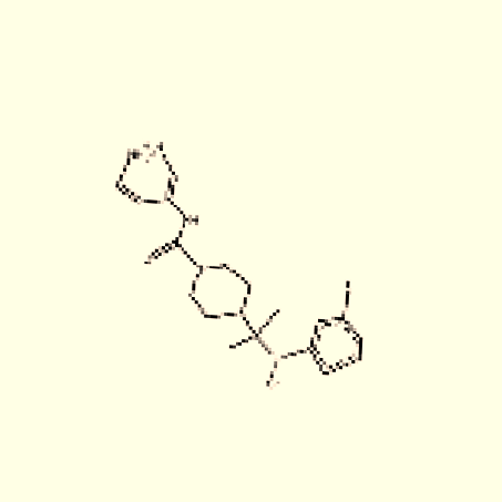 CC(C)(C1CCN(C(=O)NC(/C=C\N)=C/N)CC1)[S+]([O-])c1cccc(F)c1